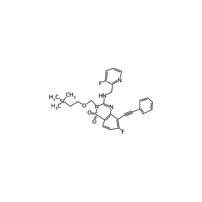 C[Si](C)(C)CCOCN1C(NCc2ncccc2F)=Nc2c(ccc(F)c2C#Cc2ccccc2)S1(=O)=O